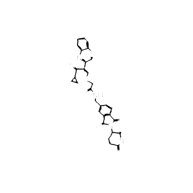 N=C(/C(=C\NCC(=O)NCc1ccc2c(c1)C(=O)N(C1CCC(=O)NC1=O)C2=O)c1cnc2ccccc2n1)C1CC1